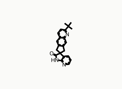 CC(C)(C)c1ccc2cc3c(cc2n1)CC1(C3)C(=O)Nc2ncccc21